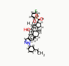 C=Cc1cccc(-n2ncc3c2C=C2CC[C@@H]4[C@H]([C@@H](O)C[C@@]5(C)[C@H]4CC[C@]5(Oc4ccco4)C(=O)SCF)[C@@]2(C)C3)c1